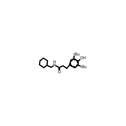 CC(C)(C)c1cc(CCC(=O)NCC2CCCCC2)cc(C(C)(C)C)c1O